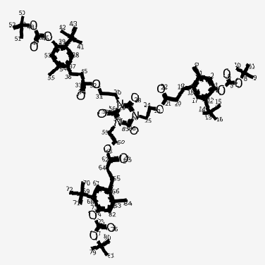 Cc1cc(OC(=O)OC(C)(C)C)c(C(C)(C)C)cc1CCC(=O)OCCn1c(=O)n(CCOC(=O)CCc2cc(C(C)(C)C)c(OC(=O)OC(C)(C)C)cc2C)c(=O)n(CCOC(=O)CCc2cc(C(C)(C)C)c(OC(=O)OC(C)(C)C)cc2C)c1=O